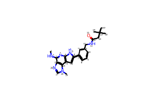 CNc1nc2[nH]c(-c3cccc(CNC(=O)CC(C)(C)C)c3)cc2c2c1ncn2C